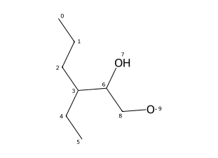 CCCC(CC)C(O)C[O]